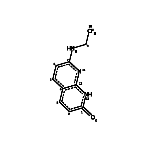 O=c1ccc2ccc(NCC(F)(F)F)nc2[nH]1